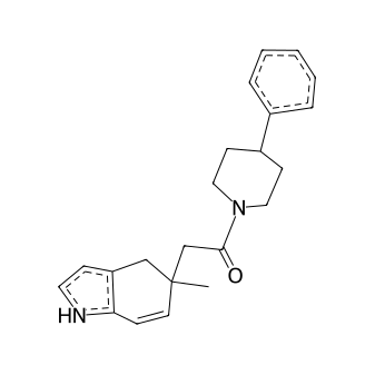 CC1(CC(=O)N2CCC(c3ccccc3)CC2)C=Cc2[nH]ccc2C1